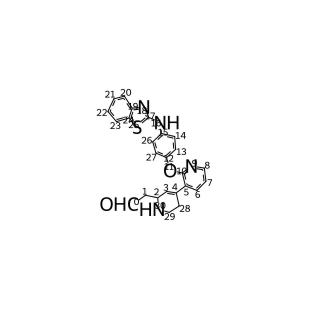 O=CCC1C=C(c2cccnc2Oc2ccc(Nc3nc4ccccc4s3)cc2)CCN1